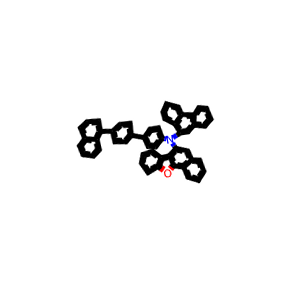 c1ccc2c(-c3ccc(-c4ccc(N(c5cc6ccccc6c6ccccc56)c5cc6ccccc6c6oc7ccccc7c56)cc4)cc3)cccc2c1